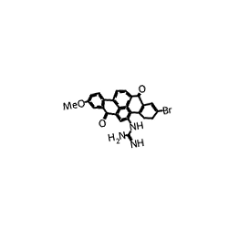 COc1ccc2c(c1)C(=O)c1cc(NC(=N)N)c3c4c(ccc-2c14)C(=O)C1=C3CCC(Br)=C1